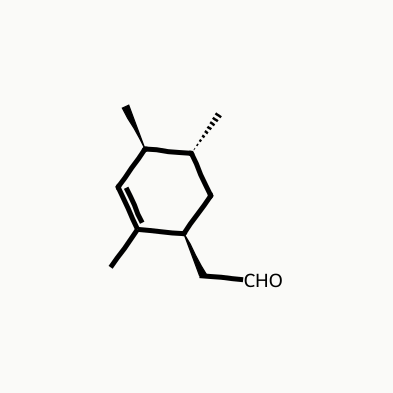 CC1=C[C@@H](C)[C@H](C)C[C@H]1CC=O